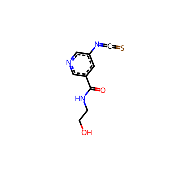 O=C(NCCO)c1cncc(N=C=S)c1